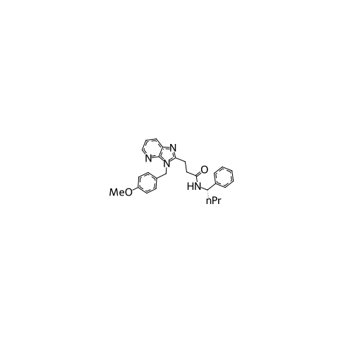 CCC[C@H](NC(=O)CCc1nc2cccnc2n1Cc1ccc(OC)cc1)c1ccccc1